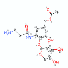 [2H]C(=O)OCc1ccc(OC2OC[C@@H](O)[C@H](O)[C@H]2O)c(NC(=O)CCN)c1